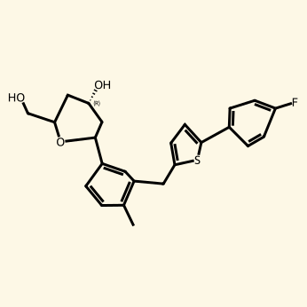 Cc1ccc(C2C[C@@H](O)CC(CO)O2)cc1Cc1ccc(-c2ccc(F)cc2)s1